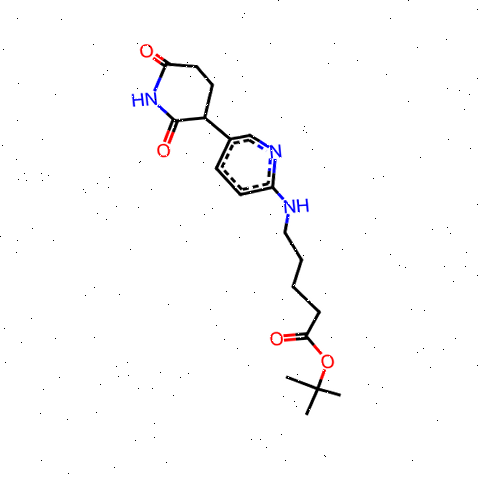 CC(C)(C)OC(=O)CCCCNc1ccc(C2CCC(=O)NC2=O)cn1